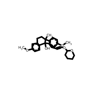 COc1ccc(C2(C)CCc3cc(OC)ccc3C2(O)CCC#COC2CCCCO2)cc1